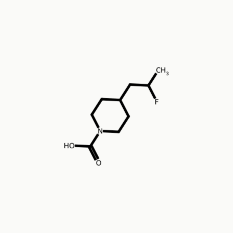 CC(F)CC1CCN(C(=O)O)CC1